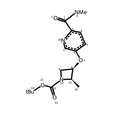 CNC(=O)c1ccc(O[C@@H]2CN(C(=O)OC(C)(C)C)[C@@H]2C)cn1